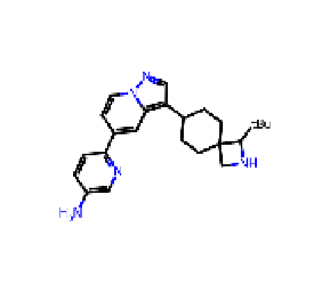 CC(C)(C)C1NCC12CCC(c1cnn3ccc(-c4ccc(N)cn4)cc13)CC2